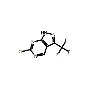 FC(F)(F)c1n[nH]c2nc(Cl)ncc12